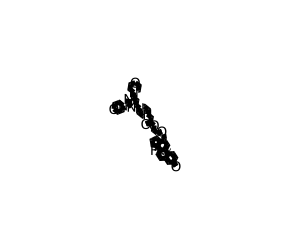 CC[C@]12CC=C3[C@@H](CCC4=CC(=O)C=C[C@@]43C)[C@@H]1CC[C@@H]2C(=O)COC(=O)CN1CCN(c2cc(N3CCOCC3)nc(N3CCOCC3)n2)CC1